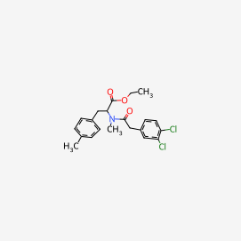 CCOC(=O)C(Cc1ccc(C)cc1)N(C)C(=O)Cc1ccc(Cl)c(Cl)c1